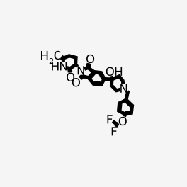 C=C1CCC(N2C(=O)c3ccc(C4(O)CCN(Cc5ccc(OC(F)F)cc5)CC4)cc3C2=O)C(=O)N1